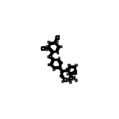 C=CC(c1ccc(Oc2ccc(Cl)cc2Cl)cc1)n1ccnc1C